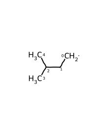 [CH2]CC(C)C